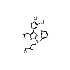 CC(C)Cc1sc(N(CCC(=O)C=O)Cc2cccnc2)nc1-c1ccc(Cl)c(Cl)c1